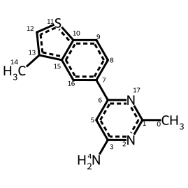 Cc1nc(N)cc(-c2ccc3scc(C)c3c2)n1